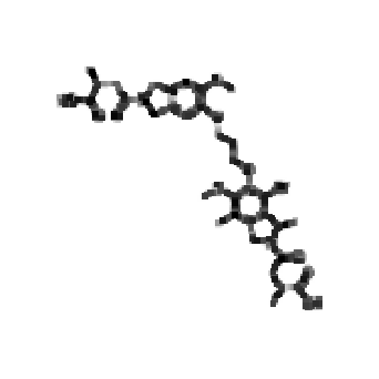 COc1cc2c(cc1OCCCOc1c(Br)c3c(c(C)c1OC)CN(C(=O)CC(C)C(=O)O)C3C)CN(C(=O)C[C@H](C)C(=O)O)C2